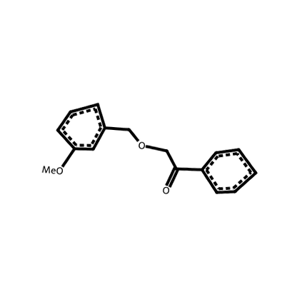 COc1cccc(COCC(=O)c2ccccc2)c1